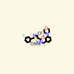 COc1ccc(F)cc1-c1nc(C(F)(F)F)c(C(=O)N[C@@H](C)c2cccc(N3CCOCC3)c2)s1